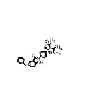 CC(C)N(C(C)C)S(=O)(=O)c1ccc(-n2[nH]c3c(c2=O)CN(Cc2ccccc2)CC3)nc1